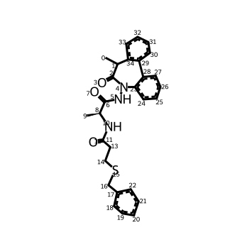 CC1C(=O)N(NC(=O)[C@H](C)NC(=O)CCSCc2ccccc2)c2ccccc2-c2ccccc21